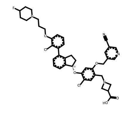 N#Cc1cncc(COc2cc(O[C@H]3CCc4c(-c5cccc(OCCCN6CCC(F)CC6)c5Cl)cccc43)c(Cl)cc2CN2CC(C(=O)O)C2)c1